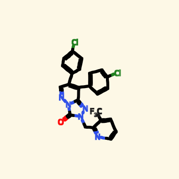 O=c1n(Cc2ncccc2C(F)(F)F)nc2c(-c3ccc(Cl)cc3)c(-c3ccc(Cl)cc3)cnn12